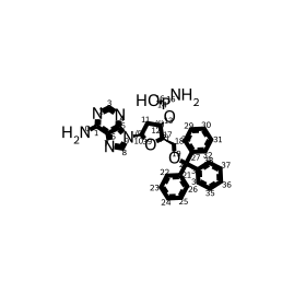 Nc1ncnc2c1ncn2[C@H]1C[C@H](OP(N)O)[C@@H](COC(c2ccccc2)(c2ccccc2)c2ccccc2)O1